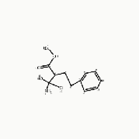 CC(C)(C)OC(=O)C(CCc1ccccc1)C(N)(O)Cl